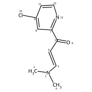 CN(C)C=CC(=O)c1cc(Cl)ccn1